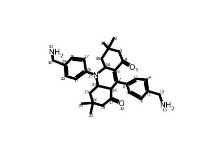 CC1(C)CC(=O)C2=C(c3ccc(CN)cc3)C3C(=O)CC(C)(C)CC3N(c3ccc(CN)cc3)C2C1